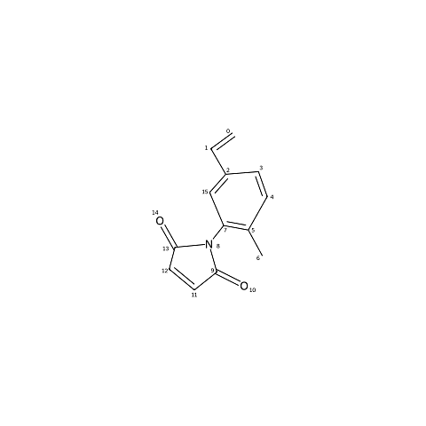 C=Cc1ccc(C)c(N2C(=O)C=CC2=O)c1